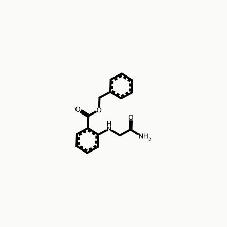 NC(=O)CNc1ccccc1C(=O)OCc1ccccc1